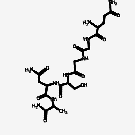 CC(NC(=O)C(CC(N)=O)NC(=O)C(CO)NC(=O)CNC(=O)CNC(=O)C(N)CCC(N)=O)C(N)=O